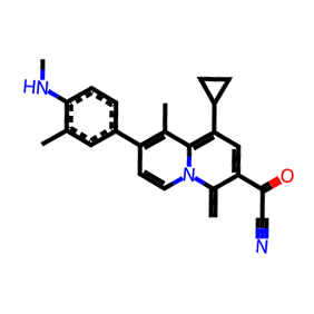 C=C1C(C(=O)C#N)=CC(C2CC2)=C2C(C)=C(c3ccc(NC)c(C)c3)C=CN12